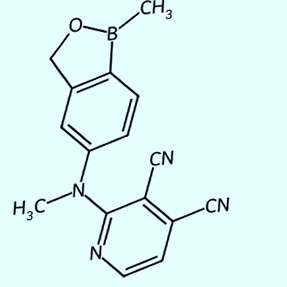 CB1OCc2cc(N(C)c3nccc(C#N)c3C#N)ccc21